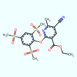 CCOC(=O)c1cc(C#N)c(C)nc1Oc1c(S(C)(=O)=O)cc(S(C)(=O)=O)cc1S(C)(=O)=O